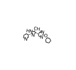 Cc1[nH]c(-c2cccnc2)nc1-c1cnc(Oc2ccccc2)nc1